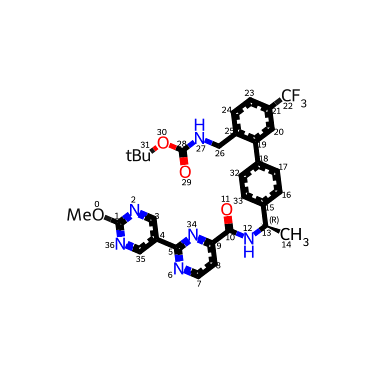 COc1ncc(-c2nccc(C(=O)N[C@H](C)c3ccc(-c4cc(C(F)(F)F)ccc4CNC(=O)OC(C)(C)C)cc3)n2)cn1